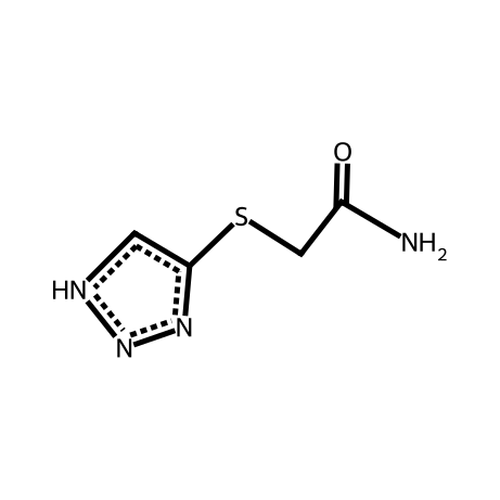 NC(=O)CSc1c[nH]nn1